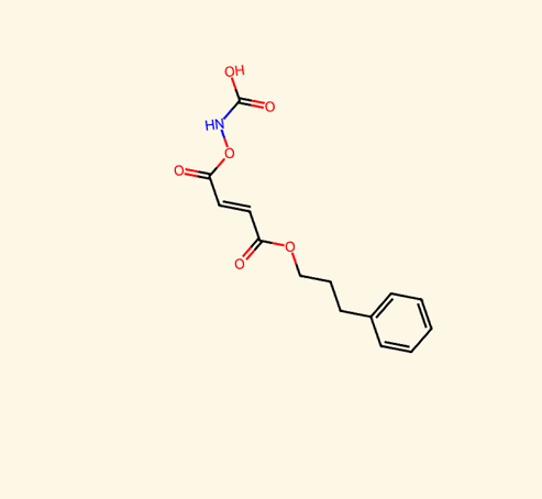 O=C(O)NOC(=O)/C=C/C(=O)OCCCc1ccccc1